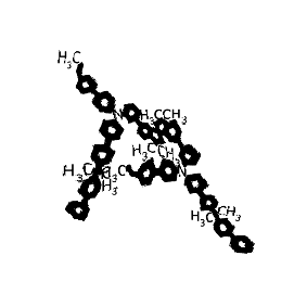 CCCc1ccc(-c2ccc(N(c3ccc(-c4ccc(C(C)(C)c5ccc(-c6ccccc6)cc5)cc4)cc3)c3cccc(-c4ccc5c(c4)C4(CC5(C)C)CC(C)(C)c5ccc(-c6cccc(N(c7ccc(-c8ccc(CCC)cc8)cc7)c7ccc(-c8ccc(C(C)(C)c9ccc(-c%10ccccc%10)cc9)cc8)cc7)c6)cc54)c3)cc2)cc1